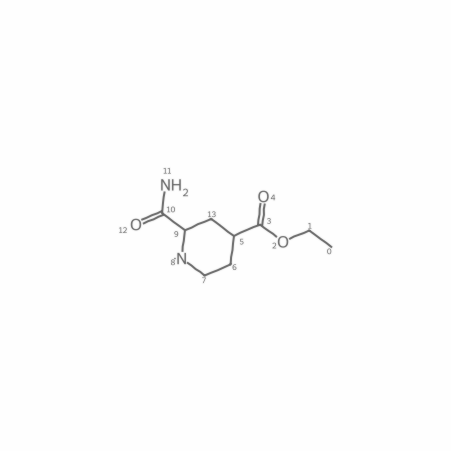 CCOC(=O)C1CC[N]C(C(N)=O)C1